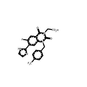 O=C(O)Cn1c(=O)c2cc(F)c(-c3ncc[nH]3)cc2n(Cc2ccc(C(F)(F)F)cc2)c1=O